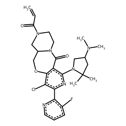 C=CC(=O)N1CCN2C(=O)c3c(N4CC(N(C)C)CC4(C)C)nc(-c4ncccc4F)c(Cl)c3OCC2C1